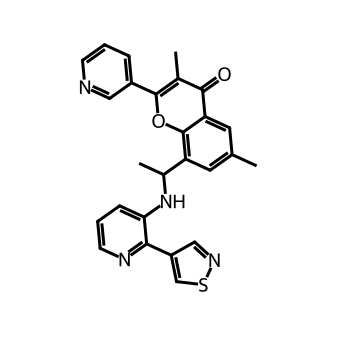 Cc1cc(C(C)Nc2cccnc2-c2cnsc2)c2oc(-c3cccnc3)c(C)c(=O)c2c1